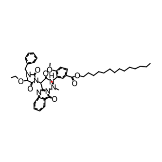 CCCCCCCCCCCCCCOC(=O)c1ccc(OC)c(NC(=O)C(c2nc3ccccc3c(=O)n2N(C)C)N2C(=O)C(OCC)N(Cc3ccccc3)C2=O)c1